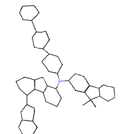 CC1(C)C2CCCCC2C2CCC(N(C3CCC(C4CCC(C5CCCCC5)CC4)CC3)C3CCCC4C3CC3CCCC(C5CC6CCCCC6C5)C34)CC21